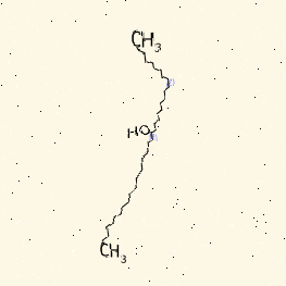 CCCCCCCC/C=C\CCCCCCCC/C(O)=C/CCCCCCCCCCCCCCCC